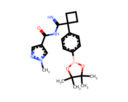 Cn1cc(C(=O)NC(=N)C2(c3ccc(B4OC(C)(C)C(C)(C)O4)cc3)CCC2)cn1